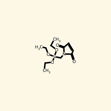 CCO[Si](CN1C(=O)C=CC1=O)(OCC)OCC